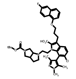 Cc1nn(C)c(C)c1-c1c(Cl)ccc2c(CCCOc3cccc4cc(F)ccc34)c(C(=O)O)n(CCN3CCC4CN(C(=O)OC(C)(C)C)CC43)c12